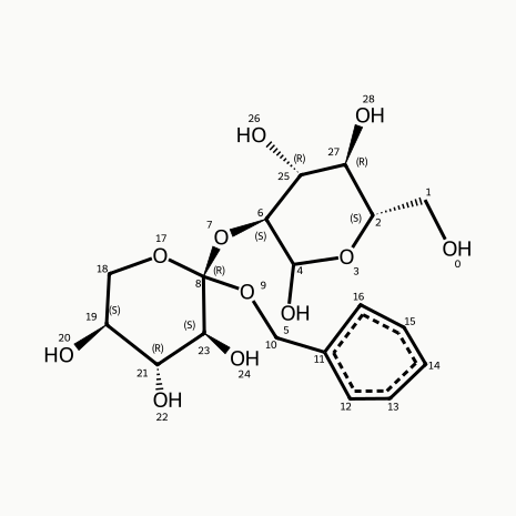 OC[C@@H]1OC(O)[C@@H](O[C@]2(OCc3ccccc3)OC[C@H](O)[C@@H](O)[C@@H]2O)[C@H](O)[C@H]1O